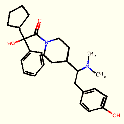 CN(C)C(Cc1ccc(O)cc1)C1CCN(C(=O)C(O)(c2ccccc2)C2CCCC2)CC1